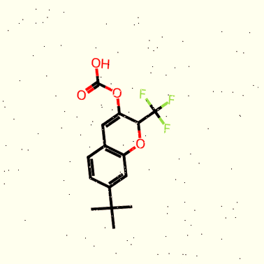 CC(C)(C)c1ccc2c(c1)OC(C(F)(F)F)C(OC(=O)O)=C2